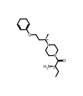 CC[C@@H](N)C(=O)N1CCN([C@H](C)CCOC2=CC[CH]C=C2)CC1